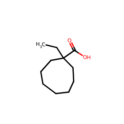 CCC1(C(=O)O)CCCCCCC1